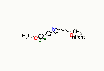 C=CCOc1ccc(-c2ccc(-c3ccc(C=CCCCC(C)OCCCCC)cn3)cc2)c(F)c1F